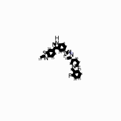 C=C(/N=N\N(C)c1ccc2[nH]nc(-c3ccc4nc(C)sc4c3)c2c1)[C@@H]1CCCN(Cc2c(F)cccc2F)C1